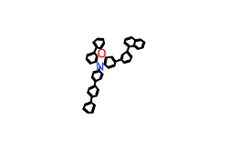 c1ccc(-c2ccc(-c3ccc(N(c4ccc(-c5cccc(-c6cccc7ccccc67)c5)cc4)c4cccc5c4oc4ccccc45)cc3)cc2)cc1